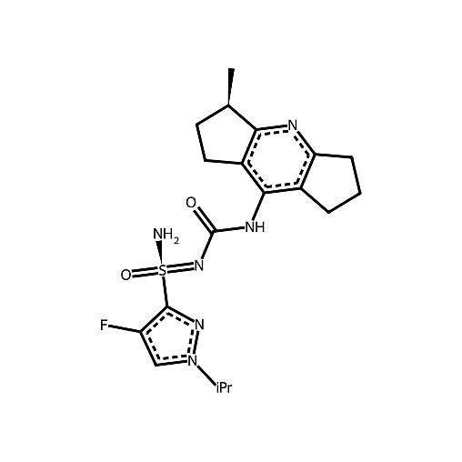 CC(C)n1cc(F)c([S@](N)(=O)=NC(=O)Nc2c3c(nc4c2CC[C@H]4C)CCC3)n1